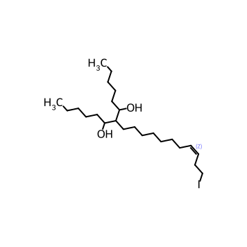 CCCCCC(O)C(CCCCCCC/C=C\CCI)C(O)CCCCC